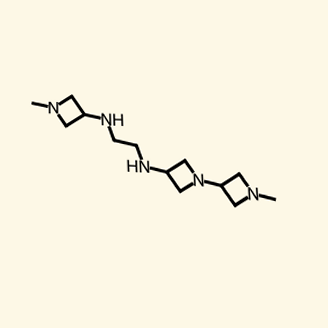 CN1CC(NCCNC2CN(C3CN(C)C3)C2)C1